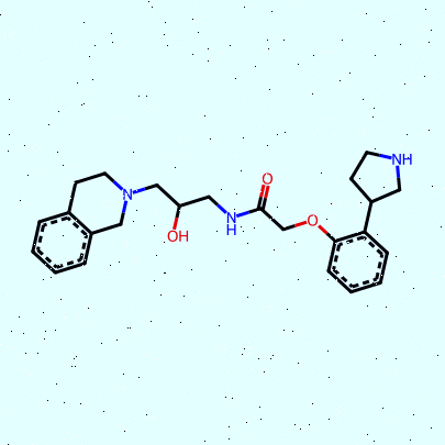 O=C(COc1ccccc1C1CCNC1)NCC(O)CN1CCc2ccccc2C1